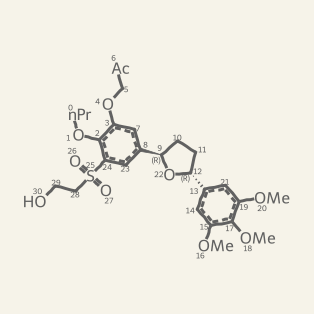 CCCOc1c(OCC(C)=O)cc([C@H]2CC[C@H](c3cc(OC)c(OC)c(OC)c3)O2)cc1S(=O)(=O)CCO